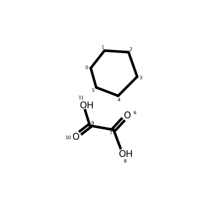 C1CCCCC1.O=C(O)C(=O)O